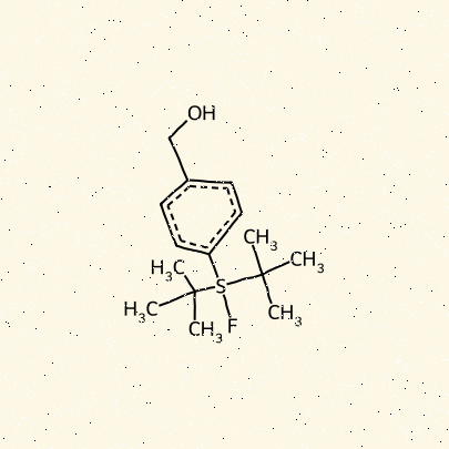 CC(C)(C)S(F)(c1ccc(CO)cc1)C(C)(C)C